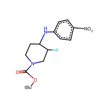 CC(C)(C)OC(=O)N1CCC(Nc2ccc([N+](=O)[O-])cc2)C(F)C1